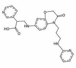 O=C(O)C(CNc1ccc2c(c1)OCC(=O)N2CCCNc1ccccn1)c1cccnc1